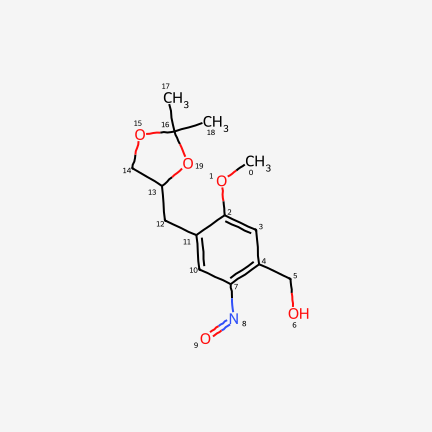 COc1cc(CO)c(N=O)cc1CC1COC(C)(C)O1